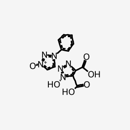 O=C(O)c1nnn(O)c1C(=O)O.[O-][n+]1ccn(-c2ccccc2)n1